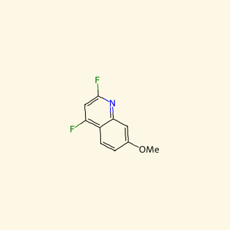 COc1ccc2c(F)cc(F)nc2c1